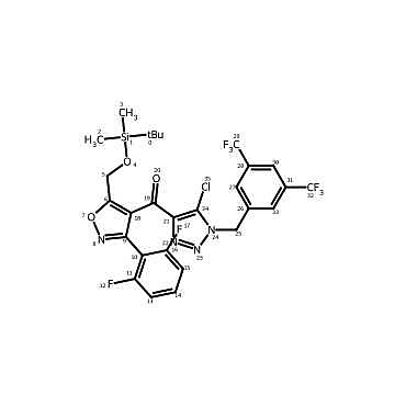 CC(C)(C)[Si](C)(C)OCc1onc(-c2c(F)cccc2F)c1C(=O)c1nnn(Cc2cc(C(F)(F)F)cc(C(F)(F)F)c2)c1Cl